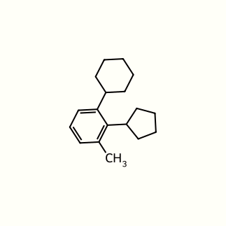 Cc1cccc(C2CCCCC2)c1C1CCCC1